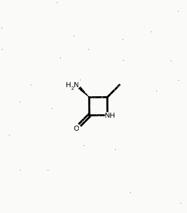 CC1NC(=O)[C@H]1N